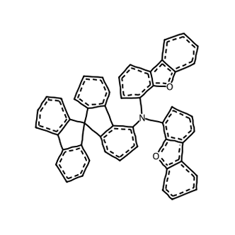 c1ccc2c(c1)-c1ccccc1C21c2ccccc2-c2c(N(c3cccc4c3oc3ccccc34)c3cccc4c3oc3ccccc34)cccc21